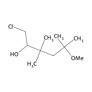 COC(C)(C)CC(C)(C)C(O)CCl